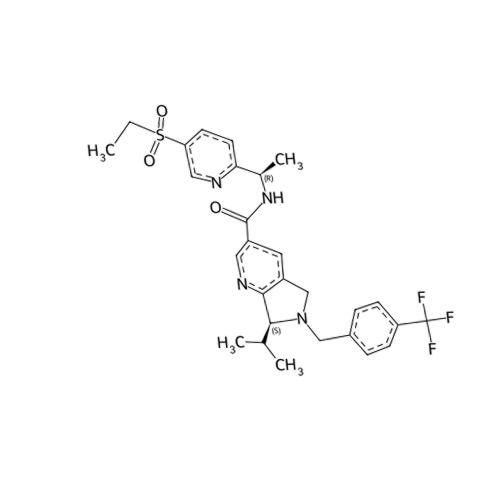 CCS(=O)(=O)c1ccc([C@@H](C)NC(=O)c2cnc3c(c2)CN(Cc2ccc(C(F)(F)F)cc2)[C@H]3C(C)C)nc1